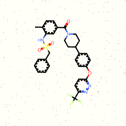 Cc1ccc(C(=O)N2CCC(c3ccc(Oc4ccc(C(F)(F)F)nn4)cc3)CC2)cc1NS(=O)(=O)Cc1ccccc1